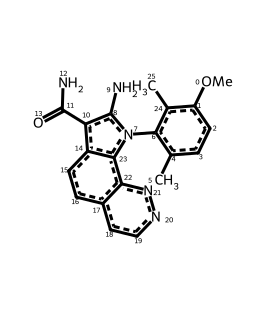 COc1ccc(C)c(-n2c(N)c(C(N)=O)c3ccc4ccnnc4c32)c1C